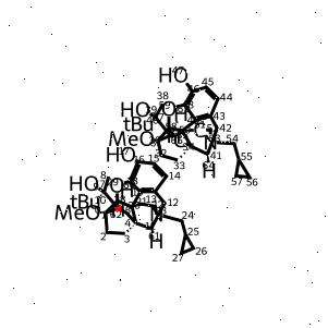 CO[C@@]12CC[C@@]3(C[C@@H]1[C@](C)(O)C(C)(C)C)[C@H]1Cc4ccc(O)c5c4[C@@]3(CCN1CC1CC1)[C@H]2O5.CO[C@@]12CC[C@@]3(C[C@@H]1[C@](C)(O)C(C)(C)C)[C@H]1Cc4ccc(O)c5c4[C@@]3(CCN1CC1CC1)[C@H]2O5